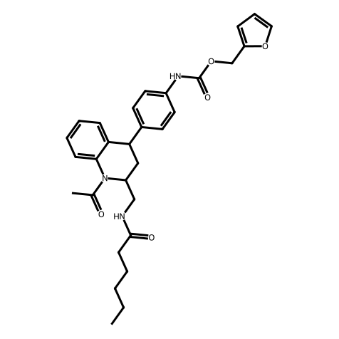 CCCCCC(=O)NCC1CC(c2ccc(NC(=O)OCc3ccco3)cc2)c2ccccc2N1C(C)=O